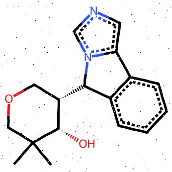 CC1(C)COC[C@H](C2c3ccccc3-c3cncn32)[C@@H]1O